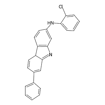 Clc1ccccc1Nc1ccc2c(c1)N=C1C=C(c3ccccc3)C=CC12